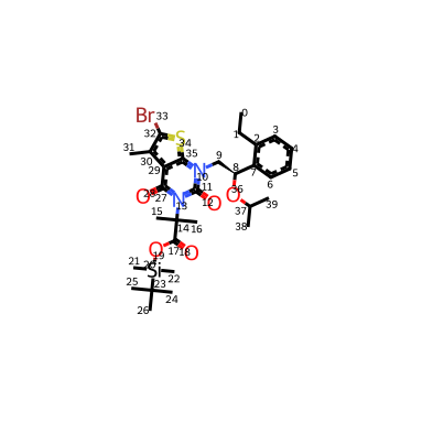 CCc1ccccc1[C@H](Cn1c(=O)n(C(C)(C)C(=O)O[Si](C)(C)C(C)(C)C)c(=O)c2c(C)c(Br)sc21)OC(C)C